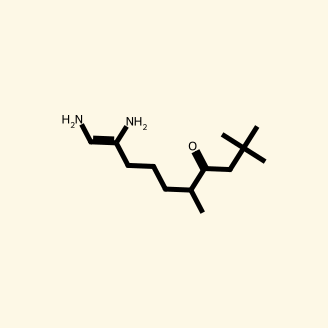 CC(CCC/C(N)=C/N)C(=O)CC(C)(C)C